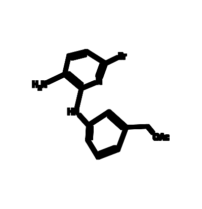 CC(=O)OCc1cccc(Nc2nc(Br)ccc2N)c1